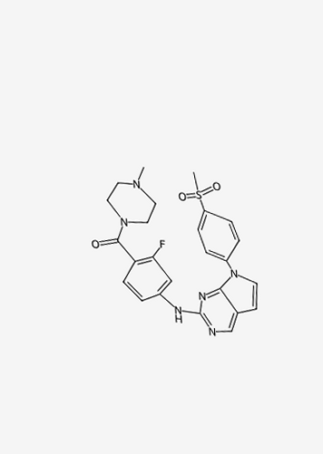 CN1CCN(C(=O)c2ccc(Nc3ncc4ccn(-c5ccc(S(C)(=O)=O)cc5)c4n3)cc2F)CC1